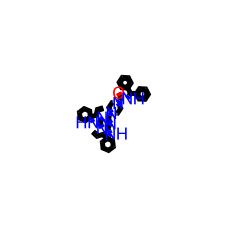 C=CCC1(Nc2nc(NC3(CC=C)CCCCC3)nc(N3CCN(C(=O)NC(c4ccccc4)c4ccccc4)CC3)n2)CCCCC1